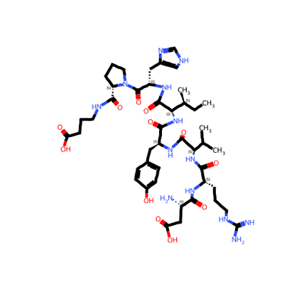 CC[C@H](C)[C@H](NC(=O)[C@H](Cc1ccc(O)cc1)NC(=O)[C@@H](NC(=O)[C@H](CCCNC(=N)N)NC(=O)[C@@H](N)CC(=O)O)C(C)C)C(=O)N[C@@H](Cc1c[nH]cn1)C(=O)N1CCC[C@H]1C(=O)NCCCC(=O)O